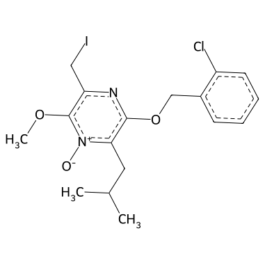 COc1c(CI)nc(OCc2ccccc2Cl)c(CC(C)C)[n+]1[O-]